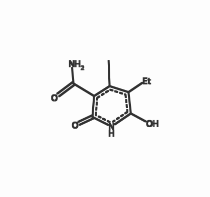 CCc1c(O)[nH]c(=O)c(C(N)=O)c1C